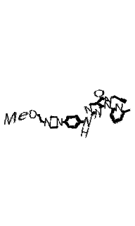 C#CCn1c(=O)c2cnc(Nc3ccc(N4CCN(CCOC)CC4)cc3)nc2n1-c1cccc(C)n1